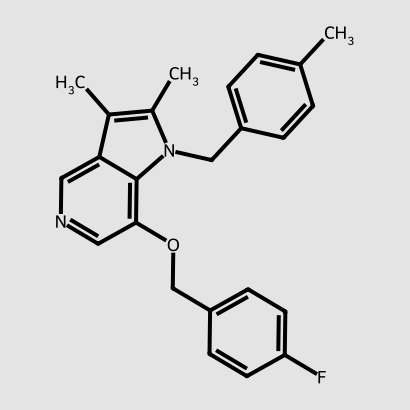 Cc1ccc(Cn2c(C)c(C)c3cncc(OCc4ccc(F)cc4)c32)cc1